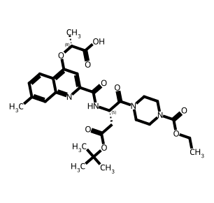 CCOC(=O)N1CCN(C(=O)[C@H](CC(=O)OC(C)(C)C)NC(=O)c2cc(O[C@H](C)C(=O)O)c3ccc(C)cc3n2)CC1